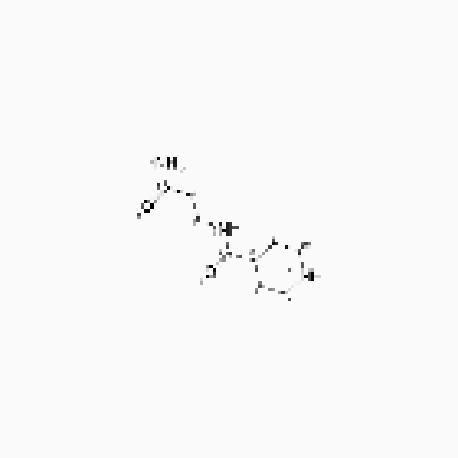 NC(=O)CCNC(=O)C1CCNCC1